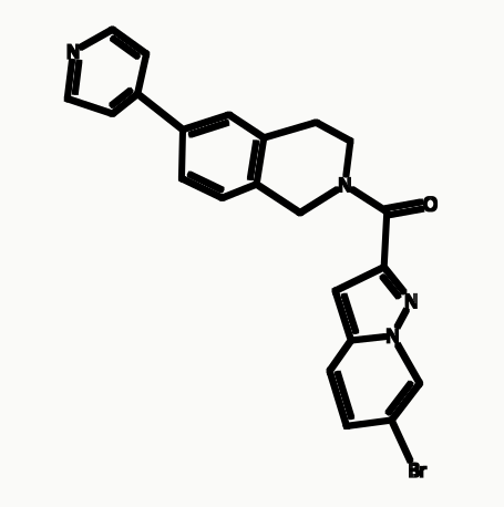 O=C(c1cc2ccc(Br)cn2n1)N1CCc2cc(-c3ccncc3)ccc2C1